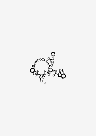 C=C[C@@H]1C[C@@]12NC(=O)[C@@H]1C[C@@H](NC(=O)c3cc4ccccc4n3C)CN1C(=O)[C@@H](NC(=O)OC1CCCC1)CCCCCCCNc1ccccc1S(=O)(=O)NC2=O